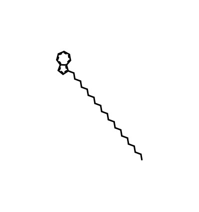 CCCCCCCCCCCCCCCCCCCCCCc1ccc2cccccc1-2